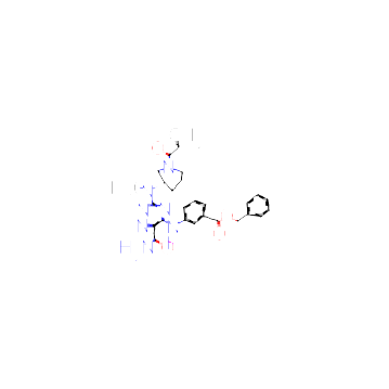 C=CC(=O)N1CCC[C@@H](N(C)c2nnc(C(N)=O)c(Nc3cccc(C(=O)OCc4ccccc4)c3)n2)C1